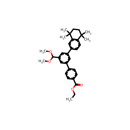 CCOC(=O)c1ccc(-c2cc(-c3ccc4c(c3)C(C)(C)CCC4(C)C)cc(C(OC)OC)c2)cc1